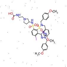 COc1ccc(CN(Cc2ccc(OC)cc2)S(=O)(=O)c2c(S(=O)(=O)NC3CCN(CCNC(=O)O)C3)ccc(I)c2-c2nnn(Cc3ccc(OC)cc3)n2)cc1